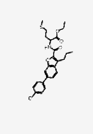 CCCc1c(C(=O)NC(CCSC)C(=O)OCC)oc2cc(-c3ccc(Cl)cc3)ccc12